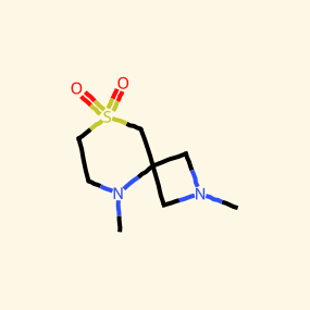 CN1CC2(C1)CS(=O)(=O)CCN2C